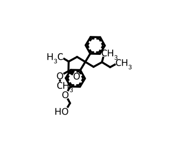 CCC(C)CC(CC(C)C(=O)OC)(c1ccccc1)c1ccc(OCO)cc1